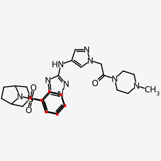 CN1CCN(C(=O)Cn2cc(Nc3nc4c(N5CC6CCC(C5)N6S(=O)(=O)c5ccccc5)cccn4n3)cn2)CC1